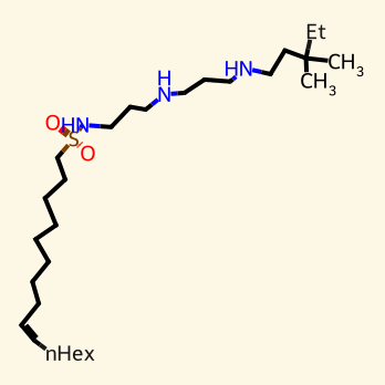 CCCCCC/C=C\CCCCCCCCS(=O)(=O)NCCCNCCCNCCC(C)(C)CC